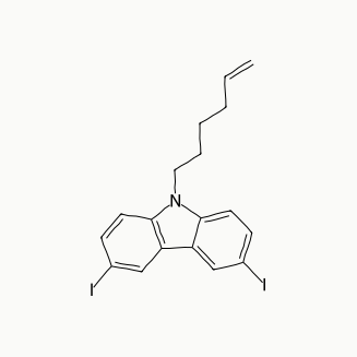 C=CCCCCn1c2ccc(I)cc2c2cc(I)ccc21